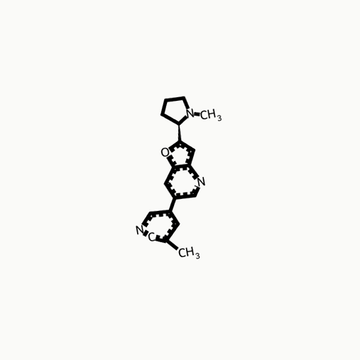 Cc1cncc(-c2cnc3cc([C@H]4CCCN4C)oc3c2)c1